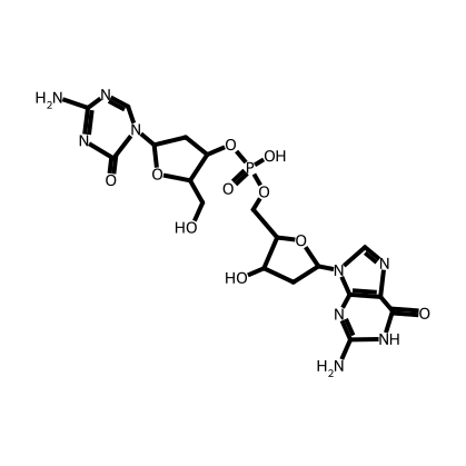 Nc1ncn(C2CC(OP(=O)(O)OCC3OC(n4cnc5c(=O)[nH]c(N)nc54)CC3O)C(CO)O2)c(=O)n1